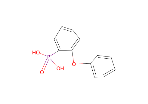 O=P(O)(O)c1ccccc1Oc1ccccc1